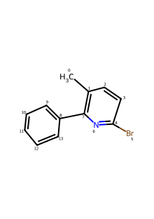 Cc1ccc(Br)nc1-c1ccccc1